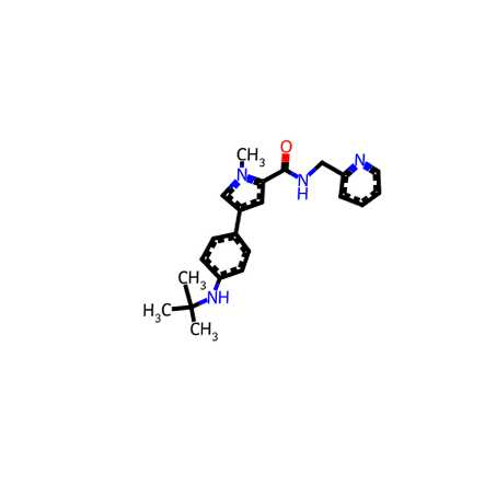 Cn1cc(-c2ccc(NC(C)(C)C)cc2)cc1C(=O)NCc1ccccn1